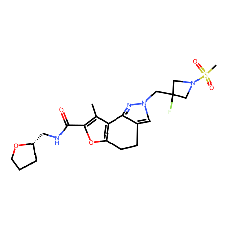 Cc1c(C(=O)NC[C@@H]2CCCO2)oc2c1-c1nn(CC3(F)CN(S(C)(=O)=O)C3)cc1CC2